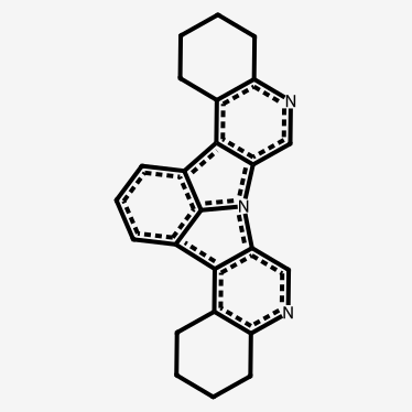 c1cc2c3c4c(ncc3n3c5cnc6c(c5c(c1)c23)CCCC6)CCCC4